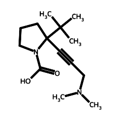 CN(C)CC#CC1(C(C)(C)C)CCCN1C(=O)O